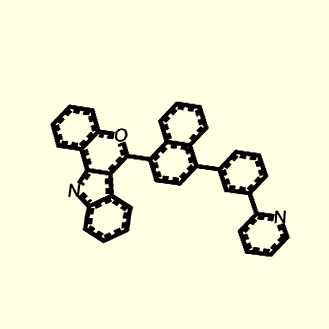 c1ccc(-c2cccc(-c3ccc(-c4oc5ccccc5c5nc6ccccc6c4-5)c4ccccc34)c2)nc1